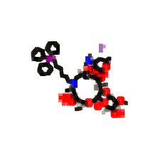 CC[C@H]1OC(=O)[C@H](C)[C@@H](O[C@H]2C[C@@](C)(OC)[C@@H](O)[C@H](C)O2)[C@H](C)[C@@H](O[C@@H]2O[C@H](C)C[C@H](N(C)C)[C@H]2O)[C@](C)(O)C[C@@H](C)CN(CCCCCC[P+](c2ccccc2)(c2ccccc2)c2ccccc2)[C@H](C)[C@@H](O)[C@]1(C)O.[I-]